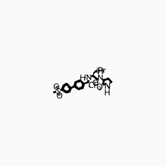 CC(C)C[C@H](N[C@@H](c1ccc(-c2ccc(S(C)(=O)=O)cc2)cc1)C(F)(F)F)C(=O)NC1CCNC1=O